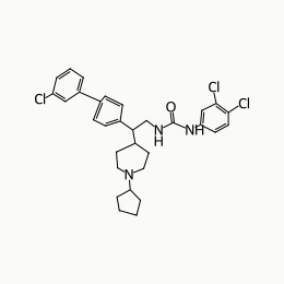 O=C(NCC(c1ccc(-c2cccc(Cl)c2)cc1)C1CCN(C2CCCC2)CC1)Nc1ccc(Cl)c(Cl)c1